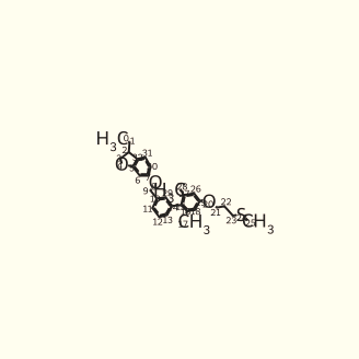 CCC1COc2cc(OCc3cccc(-c4c(C)cc(OCCCSC)cc4C)c3)ccc21